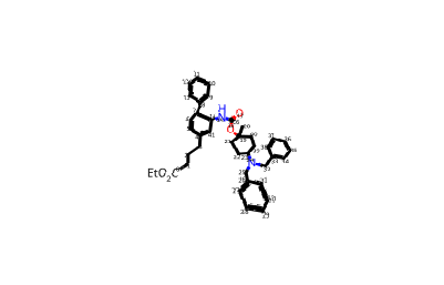 CCOC(=O)CCCc1ccc(-c2ccccc2)c(NC(=O)OC2(C)CCC(N(Cc3ccccc3)Cc3ccccc3)CC2)c1